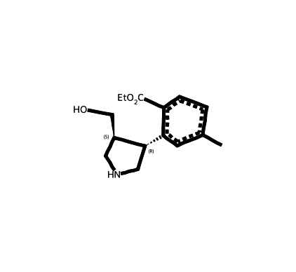 CCOC(=O)c1ccc(C)cc1[C@@H]1CNC[C@H]1CO